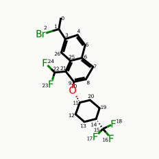 CC(Br)c1ccc2ccc(O[C@H]3CC[C@@H](C(F)(F)F)CC3)c(C(F)F)c2c1